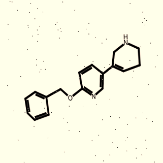 C1=C(c2ccc(OCc3ccccc3)nc2)CNCC1